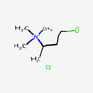 CC(CCCl)[N+](C)(C)C.[Cl-]